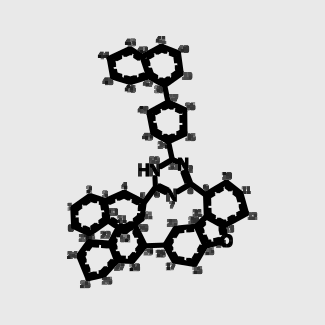 c1ccc2cc(C3=NC(c4cccc5oc6ccc(-c7ccc8ccccc8c7)cc6c45)=NC(c4ccc(-c5cccc6ccccc56)cc4)N3)ccc2c1